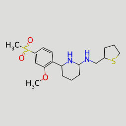 COc1cc(S(C)(=O)=O)ccc1C1CCCC(NCC2CCCS2)N1